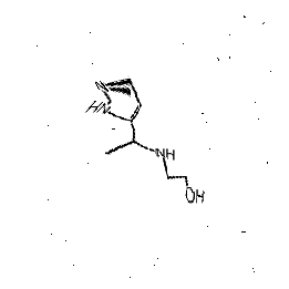 CC(NCCO)c1ccn[nH]1